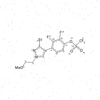 CCc1nn(CCOC)cc1-c1ccc(OS(=O)(=O)C(F)(F)F)c(F)c1F